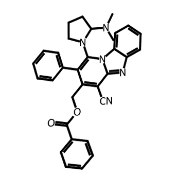 CN(C)C1CCCN1c1c(-c2ccccc2)c(COC(=O)c2ccccc2)c(C#N)c2nc3ccccc3n12